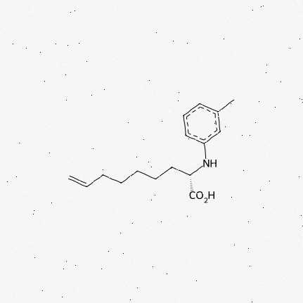 C=CCCCCC[C@H](Nc1cccc(C)c1)C(=O)O